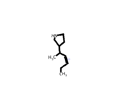 CC/C=C\C(C)C1CCNC1